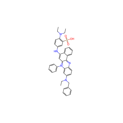 CCN(Cc1ccccc1)c1ccc2nc3c4ccccc4c(Nc4ccc(N(CC)CC)c(S(=O)(=O)O)c4)cc3[n+](-c3ccccc3)c2c1